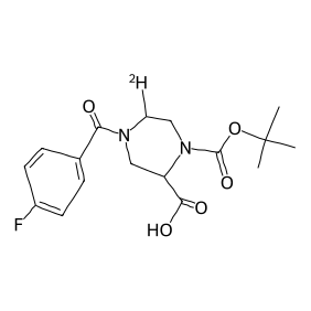 [2H]C1CN(C(=O)OC(C)(C)C)C(C(=O)O)CN1C(=O)c1ccc(F)cc1